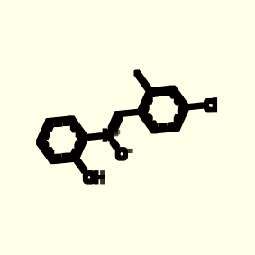 Cc1cc(Cl)ccc1C=[N+]([O-])c1ccccc1O